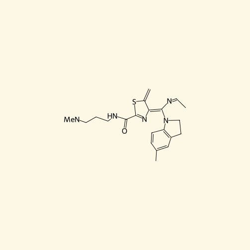 C=c1sc(C(=O)NCCCNC)n/c1=C(/N=C\C)N1CCc2cc(C)ccc21